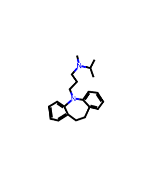 CC(C)N(C)CCCN1c2ccccc2CCc2ccccc21